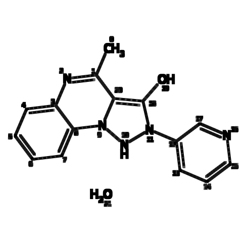 CC1=Nc2ccccc2N2NN(c3cccnc3)C(O)=C12.O